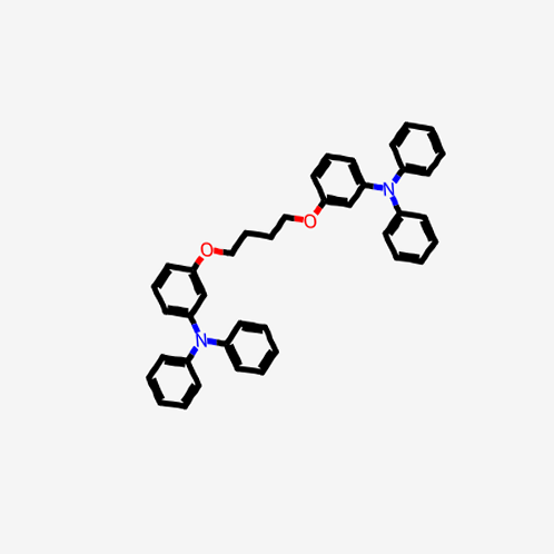 c1ccc(N(c2ccccc2)c2cccc(OCCCCOc3cccc(N(c4ccccc4)c4ccccc4)c3)c2)cc1